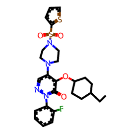 CCC1CCC(Oc2c(N3CCN(S(=O)(=O)c4cccs4)CC3)cnn(-c3ccccc3F)c2=O)CC1